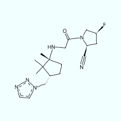 CC1(C)[C@@H](Cn2ccnn2)CC[C@@]1(C)NCC(=O)N1C[C@@H](F)C[C@H]1C#N